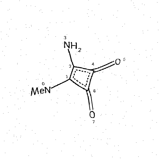 [CH2]Nc1c(N)c(=O)c1=O